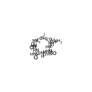 CCCN1CCCC[C@@H](C(N)=O)NC(=O)[C@@H](Cc2ccccc2)NC(=O)[C@H](Cc2c[nH]c3ccccc23)NC(=O)[C@H](C)NC(=O)[C@@H](Cc2c[nH]c3ccccc23)NC(=O)N(NC(=O)[C@@H](C)N)CCCC1